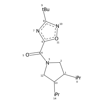 CC(C)C1CN(C(=O)c2nc(C(C)(C)C)no2)CC1C(C)C